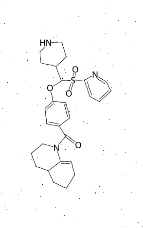 O=C(c1ccc(OC(C2CCNCC2)S(=O)(=O)c2ccccn2)cc1)N1CCCC2CCCC=C21